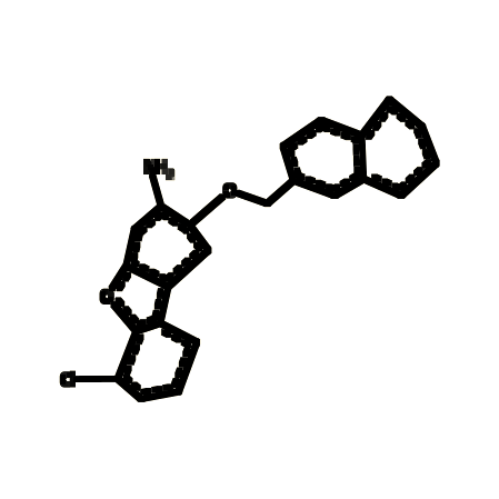 Nc1cc2oc3c(Cl)cccc3c2cc1OCc1ccc2ccccc2c1